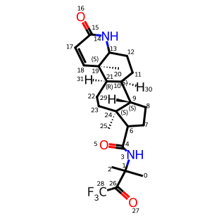 CC(C)(NC(=O)C1CC[C@H]2[C@@H]3CCC4NC(=O)C=C[C@]4(C)[C@@H]3CC[C@]12C)C(=O)C(F)(F)F